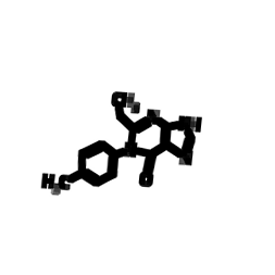 CCc1nc2[nH]cnc2c(=O)n1-c1ccc(C)cc1